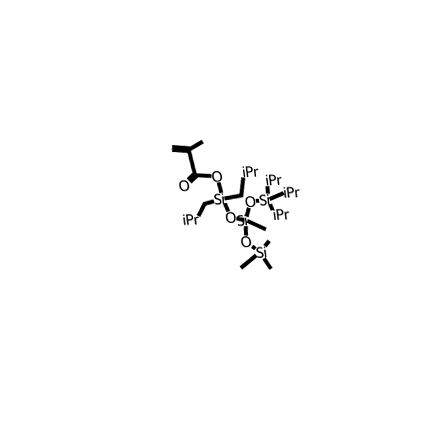 C=C(C)C(=O)O[Si](CC(C)C)(CC(C)C)O[Si](C)(O[Si](C)(C)C)O[Si](C(C)C)(C(C)C)C(C)C